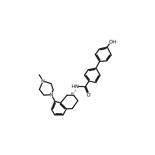 CN1CCN(c2cccc3c2C[C@H](NC(=O)c2ccc(-c4ccc(O)cc4)cc2)CC3)CC1